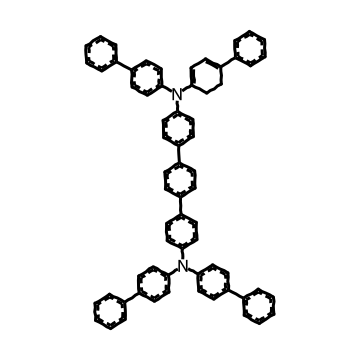 C1=C(c2ccccc2)CCC(N(c2ccc(-c3ccccc3)cc2)c2ccc(-c3ccc(-c4ccc(N(c5ccc(-c6ccccc6)cc5)c5ccc(-c6ccccc6)cc5)cc4)cc3)cc2)=C1